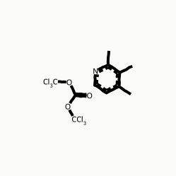 Cc1ccnc(C)c1C.O=C(OC(Cl)(Cl)Cl)OC(Cl)(Cl)Cl